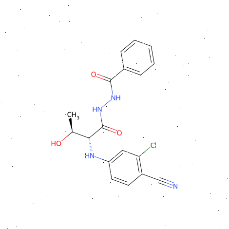 C[C@H](O)[C@@H](Nc1ccc(C#N)c(Cl)c1)C(=O)NNC(=O)c1ccccc1